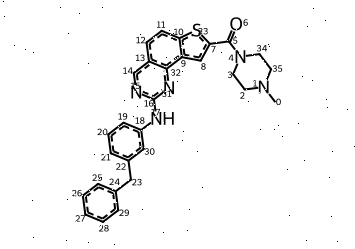 CN1CCN(C(=O)c2cc3c(ccc4cnc(Nc5cccc(Cc6ccccc6)c5)nc43)s2)CC1